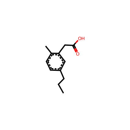 CCCc1ccc(C)c(CC(=O)O)c1